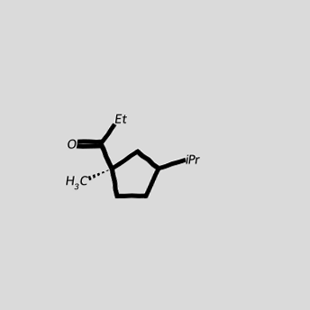 CCC(=O)[C@]1(C)CCC(C(C)C)C1